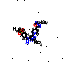 CC(C)(C)c1noc(C2CCN(c3cc(Nc4ccc(S(C)(=O)=O)cc4)nc([N+](=O)[O-])n3)CC2)n1